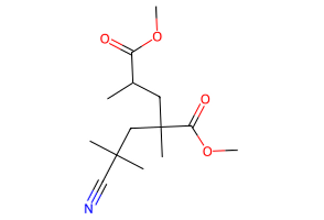 COC(=O)C(C)CC(C)(CC(C)(C)C#N)C(=O)OC